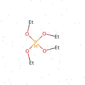 CCO[PH](OCC)(OCC)OCC